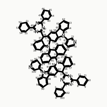 c1ccc(-c2nc(-c3ccccc3)nc(C3c4ccccc4N(c4c5ccccc5c(N5c6ccccc6C(c6nc(-c7ccccc7)nc(-c7ccccc7)n6)c6cc7c8ccccc8n(-c8cccnc8)c7cc65)c5ccccc45)c4cc5c(cc43)c3ccccc3n5-c3cccnc3)n2)cc1